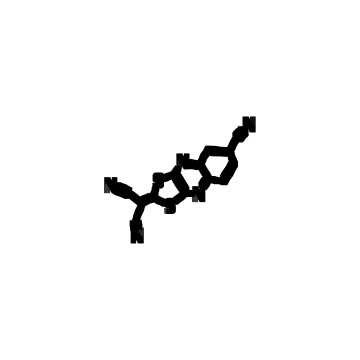 N#CC(C#N)=C1Sc2nc3ccc(C#N)cc3nc2S1